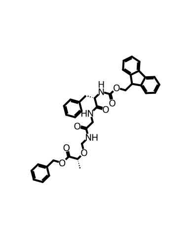 C[C@@H](OCNC(=O)CNC(=O)[C@H](Cc1ccccc1)NC(=O)OCC1c2ccccc2-c2ccccc21)C(=O)OCc1ccccc1